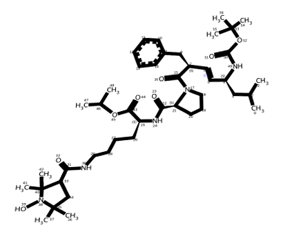 CC(C)C[C@@H](/C=C/[C@H](Cc1ccccc1)C(=O)N1CCC[C@H]1C(=O)N[C@@H](CCCCNC(=O)C1CC(C)(C)N(O)C1(C)C)C(=O)OC(C)C)NC(=O)OC(C)(C)C